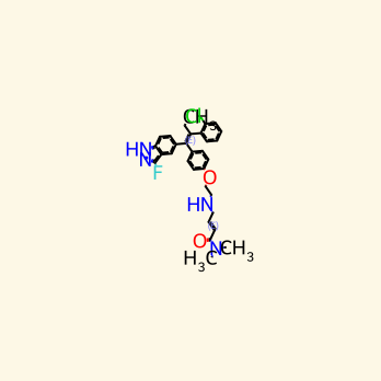 CC/C(=C(/c1ccc(OCCNC/C=C/C(=O)N(C)C)cc1)c1ccc2[nH]nc(F)c2c1)c1ccccc1Cl